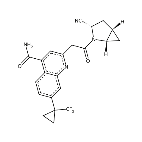 N#C[C@@H]1C[C@@H]2C[C@@H]2N1C(=O)Cc1cc(C(N)=O)c2ccc(C3(C(F)(F)F)CC3)cc2n1